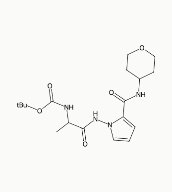 CC(NC(=O)OC(C)(C)C)C(=O)Nn1cccc1C(=O)NC1CCOCC1